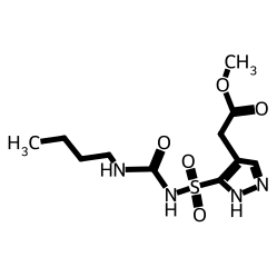 CCCCNC(=O)NS(=O)(=O)c1[nH]ncc1CC(=O)OC